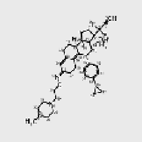 C#CC(F)(F)[C@]1(O)CC[C@H]2[C@@H]3CCC4=C/C(=N/OCCN5CCN(C)CC5)CCC4=C3[C@@H](c3ccc(C4CC4)cc3)C[C@@]21C